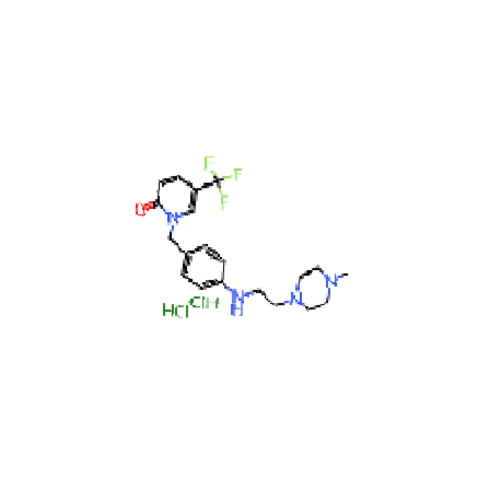 CN1CCN(CCNc2ccc(Cn3cc(C(F)(F)F)ccc3=O)cc2)CC1.Cl.Cl